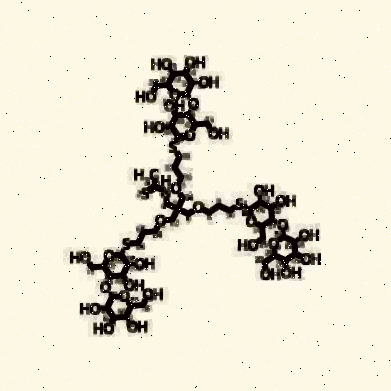 CC(=S)NCC(COCCCS[C@@H]1OC(CO)[C@@H](O[C@@H]2OC(CO)[C@H](O)C(O)[C@@H]2O)C(O)[C@@H]1O)(COCCCS[C@@H]1OC(CO)[C@@H](O[C@@H]2OC(CO)[C@H](O)C(O)[C@@H]2O)C(O)[C@@H]1O)COCCCS[C@@H]1OC(CO)[C@@H](O[C@@H]2OC(CO)[C@H](O)C(O)[C@@H]2O)C(O)[C@@H]1O